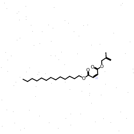 C=C(C)COC(=O)/C=C\C(=O)OCCCCCCCCCCCCC